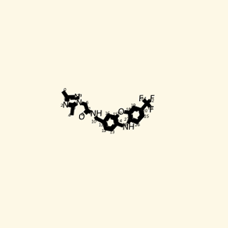 Cc1nc(C)n(CC(=O)NCc2ccc3c(c2)Oc2cc(C(F)(F)F)ccc2N3)n1